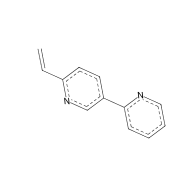 C=Cc1ccc(-c2ccccn2)cn1